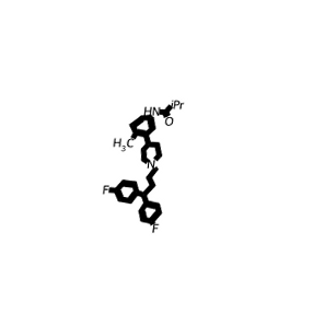 Cc1ccc(NC(=O)C(C)C)cc1C1CCN(CCCC(c2ccc(F)cc2)c2ccc(F)cc2)CC1